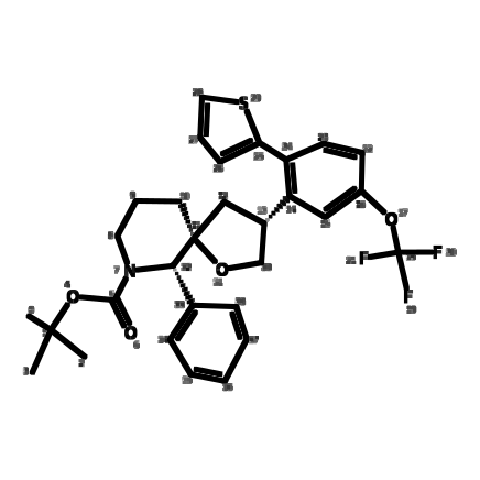 CC(C)(C)OC(=O)N1CCC[C@@]2(C[C@H](c3cc(OC(F)(F)F)ccc3-c3cccs3)CO2)[C@@H]1c1ccccc1